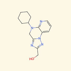 OCc1nc2n(n1)-c1cccnc1N(C1CCCCC1)C2